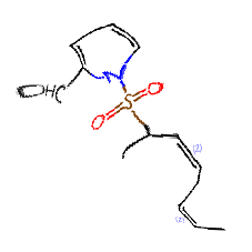 C/C=C\C=C/C(C)S(=O)(=O)n1cccc1C=O